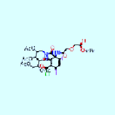 CCCOC(=O)COCC(=O)NC1(C(=O)NCC(OC(C)=O)C(OC(C)=O)C(OC(C)=O)C(COC(C)=O)OC(C)=O)C(I)=CC(I)C(C(=O)Cl)=C1I